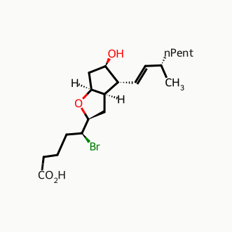 CCCCC[C@H](C)/C=C/[C@@H]1[C@H]2C[C@@H]([C@@H](Br)CCCC(=O)O)O[C@H]2C[C@H]1O